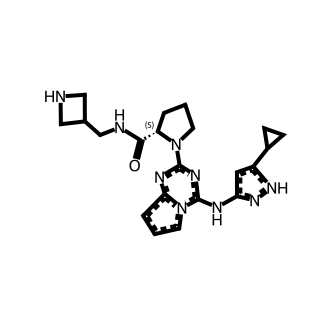 O=C(NCC1CNC1)[C@@H]1CCCN1c1nc(Nc2cc(C3CC3)[nH]n2)n2cccc2n1